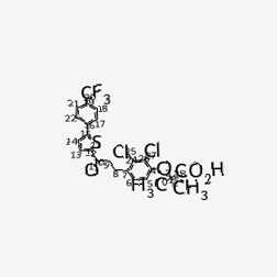 CC(C)(Oc1ccc(CCC(=O)c2ccc(-c3ccc(C(F)(F)F)cc3)s2)c(Cl)c1Cl)C(=O)O